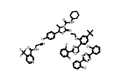 CC1C(c2ccc(Cl)cc2)SC(=O)N1C(=O)NC1CCCCC1.CCOc1cc(C(C)(C)C)ccc1C1COC(c2c(F)cccc2F)=N1.Clc1ccccc1-c1nnc(-c2ccccc2Cl)nn1.N#CCNC(=O)c1cnccc1C(F)(F)F